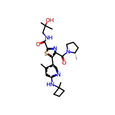 Cc1cc(NC2(C)CCC2)ncc1-c1sc(C(=O)NCC(C)(C)O)nc1C(=O)N1CCC[C@@H]1C